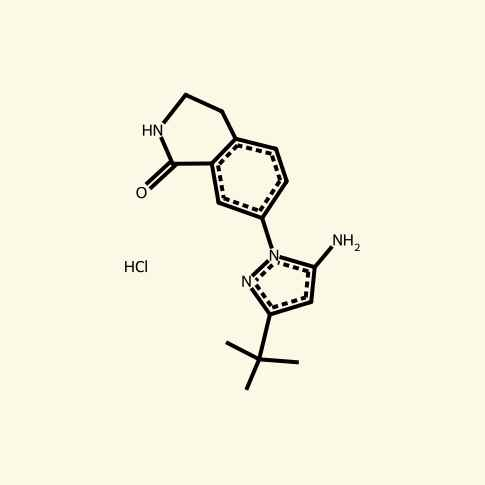 CC(C)(C)c1cc(N)n(-c2ccc3c(c2)C(=O)NCC3)n1.Cl